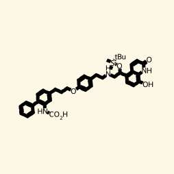 CC(C)(C)[Si](C)(C)OC(CNCCc1ccc(OCCCc2ccc(-c3ccccc3)c(NC(=O)O)c2)cc1)c1ccc(O)c2[nH]c(=O)ccc12